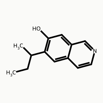 CCC(C)c1cc2ccncc2cc1O